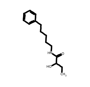 CCC(O)C(=O)NCCCCCc1ccccc1